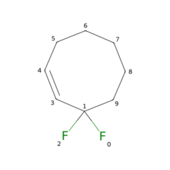 FC1(F)C=CCCCCC1